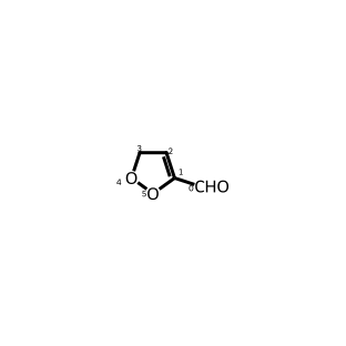 O=CC1=CCOO1